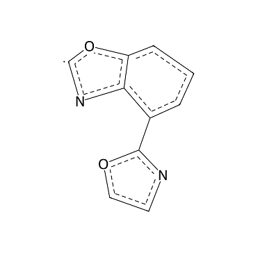 [c]1nc2c(-c3ncco3)cccc2o1